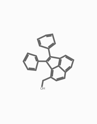 OCc1ccc2cccc3c2c1C(c1ccccc1)=C3c1ccccc1